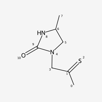 CC(=S)CN1CC(C)NC1=O